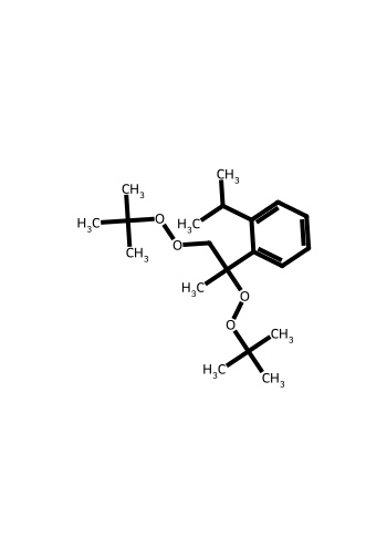 CC(C)c1ccccc1C(C)(COOC(C)(C)C)OOC(C)(C)C